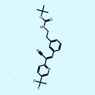 CC(C)(C)OC(=O)NCCc1cccc(C=C(C#N)c2ccc(C(F)(F)F)cn2)c1